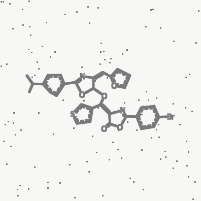 CC(C)c1ccc(C2=N/C(=C/c3ccco3)C(O/C(=C3\N=C(c4ccc(Br)cc4)OC3=O)c3ccsc3)O2)cc1